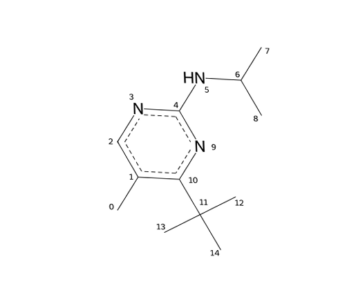 Cc1cnc(NC(C)C)nc1C(C)(C)C